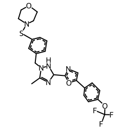 CC1=NC(c2ncc(-c3ccc(OC(F)(F)F)cc3)o2)NN1Cc1cccc(SN2CCOCC2)c1